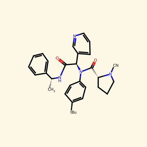 C[C@@H](NC(=O)[C@@H](c1cccnc1)N(C(=O)[C@H]1CCCN1C#N)c1ccc(C(C)(C)C)cc1)c1ccccc1